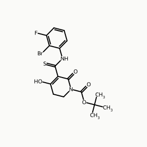 CC(C)(C)OC(=O)N1CCC(O)=C(C(=S)Nc2cccc(F)c2Br)C1=O